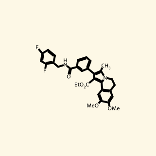 CCOC(=O)c1c(-c2cccc(C(=O)NCc3ccc(F)cc3F)c2)c(C)n2c1-c1cc(OC)c(OC)cc1CC2